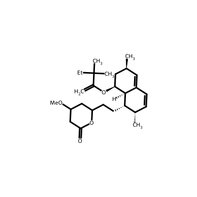 C=C(O[C@H]1C[C@@H](C)C=C2C=C[C@H](C)[C@H](CCC3CC(OC)CC(=O)O3)[C@H]21)C(C)(C)CC